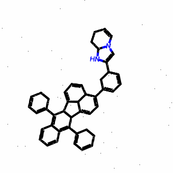 C1=CCCC(C2=c3ccccc3=C(C3=CC=CCC3)C3C4=CC=C(C5=CC=CC(C6=CN7C=CCCC7N6)C5)C5C=CC=C(C45)C23)=C1